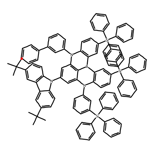 CC(C)(C)c1ccc2c(c1)c1cc(C(C)(C)C)ccc1n2-c1cc2c3c(c1)N(c1cccc([Si](c4ccccc4)(c4ccccc4)c4ccccc4)c1)c1ccc([Si](c4ccccc4)(c4ccccc4)c4ccccc4)cc1B3c1cc([Si](c3ccccc3)(c3ccccc3)c3ccccc3)ccc1N2c1cccc(-c2ccccc2)c1